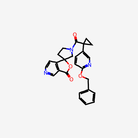 O=C1OC2(CCN(C(=O)C3(c4ccc(OCc5ccccc5)nc4)CC3)C2)c2ccncc21